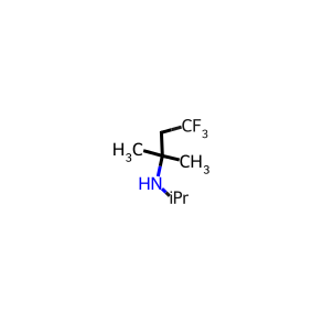 CC(C)NC(C)(C)CC(F)(F)F